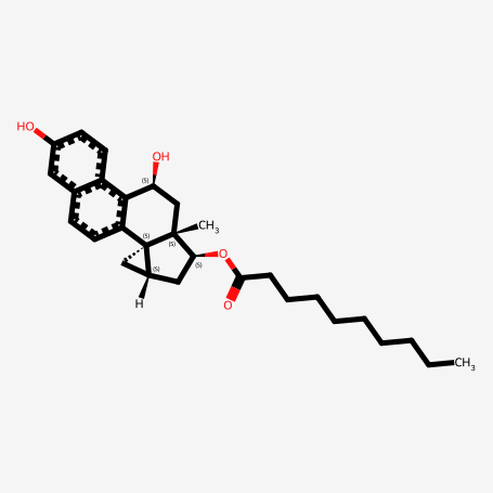 CCCCCCCCCC(=O)O[C@H]1C[C@@H]2C[C@@]23c2ccc4cc(O)ccc4c2[C@@H](O)C[C@]13C